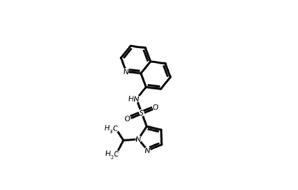 CC(C)n1nccc1S(=O)(=O)Nc1cccc2cccnc12